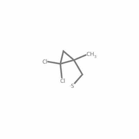 CC1(C[S])CC1(Cl)Cl